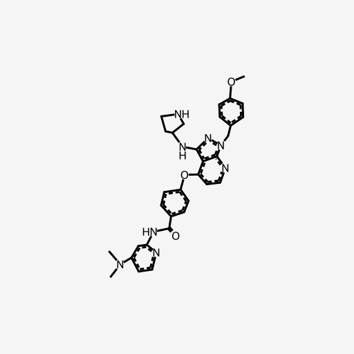 COc1ccc(Cn2nc(NC3CCNC3)c3c(Oc4ccc(C(=O)Nc5cc(N(C)C)ccn5)cc4)ccnc32)cc1